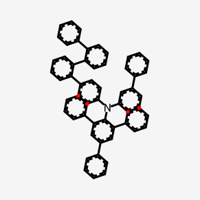 c1ccc(-c2cccc(N(c3ccc(-c4ccccc4-c4ccccc4-c4ccccc4)cc3)c3c(-c4ccccc4)cc(-c4ccccc4)cc3-c3ccccc3)c2)cc1